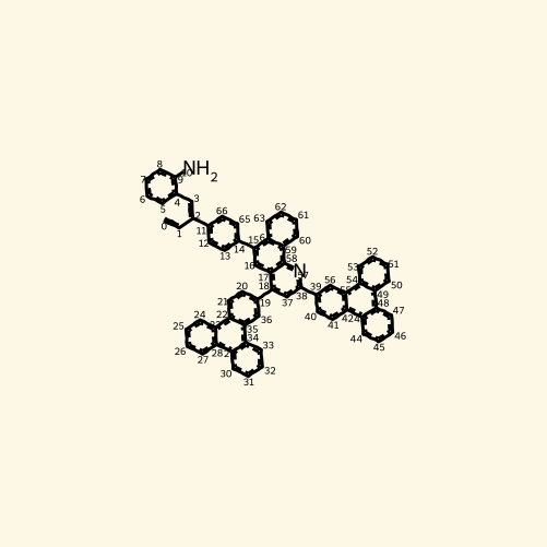 C=C/C(=C\c1ccccc1N)c1ccc(-c2cc3c(-c4ccc5c6ccccc6c6ccccc6c5c4)cc(-c4ccc5c6ccccc6c6ccccc6c5c4)nc3c3ccccc23)cc1